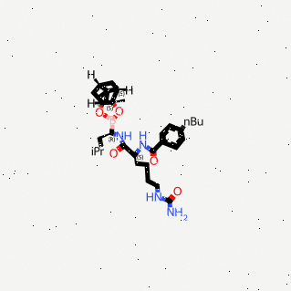 CCCCc1ccc(C(=O)N[C@@H](CCCCNC(N)=O)C(=O)N[C@@H](CC(C)C)B2O[C@@H]3C[C@@H]4C[C@@H](C4(C)C)[C@]3(C)O2)cc1